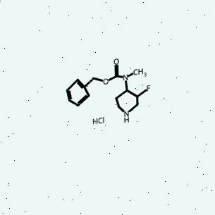 CN(C(=O)OCc1ccccc1)C1CCNCC1F.Cl